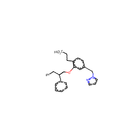 CC(C)CC(COc1cc(Cn2cccn2)ccc1CCC(=O)O)c1ccccc1